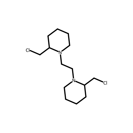 ClCC1CCCCN1CCN1CCCCC1CCl